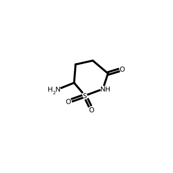 NC1CCC(=O)NS1(=O)=O